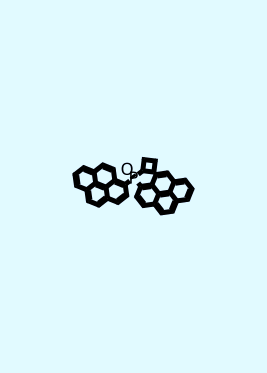 O=P(c1ccc2ccc3cccc4ccc1c2c34)(c1ccc2ccc3cccc4ccc1c2c34)C1CCC1